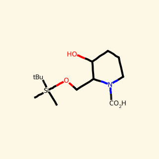 CC(C)(C)[Si](C)(C)OCC1C(O)CCCN1C(=O)O